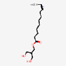 CCCCCCCC/C=C\CCCCCCCC(=O)OCC(CO)CO